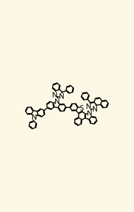 c1ccc(-c2nc(-n3c4ccc(-c5ccc6c(c5)c5ccccc5n6-c5ccccc5)cc4c4ccc(-c5ccc6sc7c(c6c5)c5ccccc5c5c6ccccc6n(-c6nc(-c8ccccc8)c8ccc9ccccc9c8n6)c75)cc43)nc3ccccc23)cc1